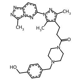 Cc1nn(-c2ccc3nnc(C)n3n2)c(C)c1CCC(=O)N1CCN(Cc2ccc(CO)cc2)CC1